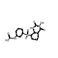 O=C(O)Nc1cccc(S(=O)(=O)c2cccc3c(=O)n(O)c(=O)[nH]c23)c1